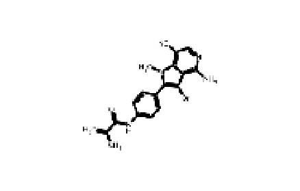 C=C(C)C(=O)Nc1ccc(-c2c(Br)c3c(N)ncc(C#N)c3n2C)cc1